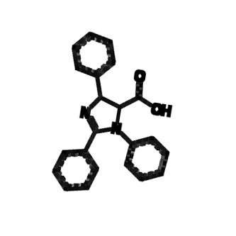 O=C(O)C1C(c2ccccc2)N=C(c2ccccc2)N1c1ccccc1